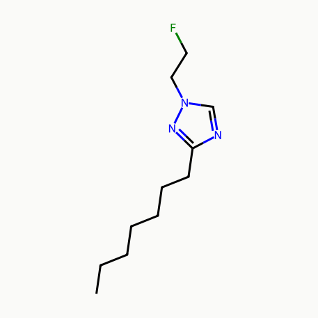 CCCCCCCc1ncn(CCF)n1